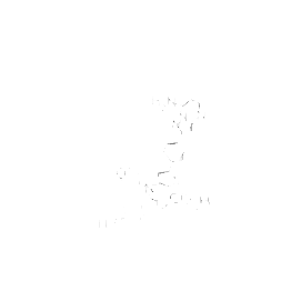 C[C@H]1CC[C@H](C(=O)N(c2cc(-c3ccc(-c4cc5nccc(N)n5n4)cc3)sc2C(=O)O)C2CCOCC2)CC1